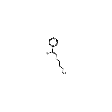 [2H]C(=NCCCCO)c1ccccc1